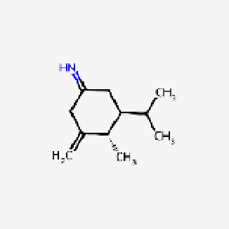 C=C1CC(=N)CC(C(C)C)[C@@H]1C